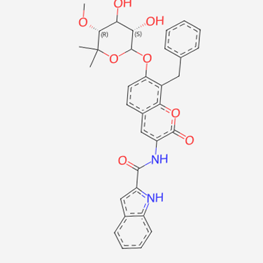 CO[C@@H]1C(O)[C@H](O)C(Oc2ccc3cc(NC(=O)c4cc5ccccc5[nH]4)c(=O)oc3c2Cc2ccccc2)OC1(C)C